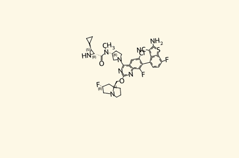 CN(C(=O)[C@@H]1N[C@H]1C1CC1)[C@@H]1CCN(c2nc(OC[C@@]34CCCN3C[C@H](F)C4)nc3c(F)c(-c4ccc(F)c5sc(N)c(C#N)c45)c(Cl)cc23)C1